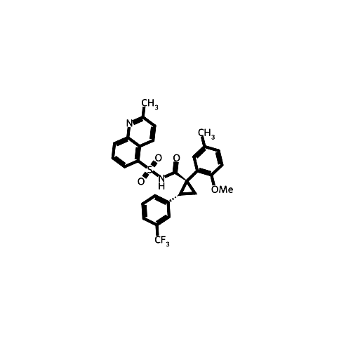 COc1ccc(C)cc1[C@]1(C(=O)NS(=O)(=O)c2cccc3nc(C)ccc23)C[C@@H]1c1cccc(C(F)(F)F)c1